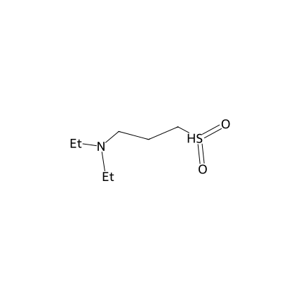 CCN(CC)CCC[SH](=O)=O